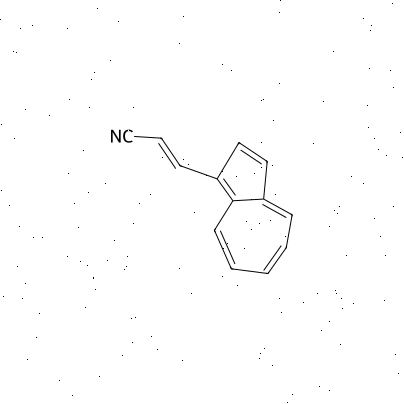 N#CC=Cc1ccc2cccccc1-2